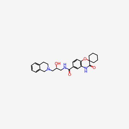 O=C(NC[C@H](O)CN1CCc2ccccc2C1)c1ccc2c(c1)NC(=O)C1(CCCCC1)O2